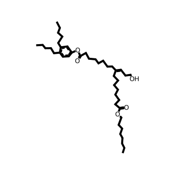 CCCCCCCCOC(=O)CCCCCCC/C(=C\CCO)CCCCCCCC(=O)Oc1ccc(CCCCC)c(CCCCC)c1